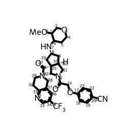 COC1COCCC1N[C@@H]1C[C@H]2CN(C(=O)COc3ccc(C#N)cc3)C[C@@]2(C(=O)N2CCc3ncc(C(F)(F)F)cc3C2)C1